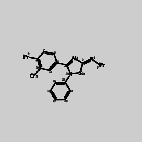 CC(C)N=c1nc(-c2ccc(C(C)C)c(Cl)c2)n(-c2ccccc2)s1